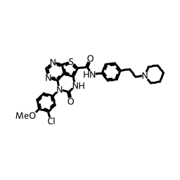 COc1ccc(N2C(=O)Nc3c(C(=O)Nc4ccc(CCN5CCCCC5)cc4)sc4ncnc2c34)cc1Cl